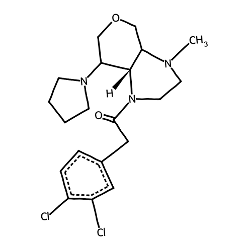 CN1CCN(C(=O)Cc2ccc(Cl)c(Cl)c2)[C@H]2C1COCC2N1CCCC1